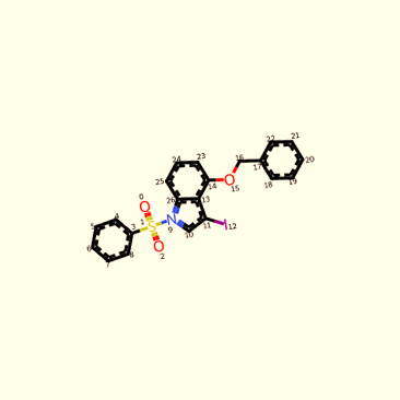 O=S(=O)(c1ccccc1)n1cc(I)c2c(OCc3ccccc3)cccc21